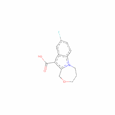 O=C(O)c1c2n(c3ccc(F)cc13)CCCOC2